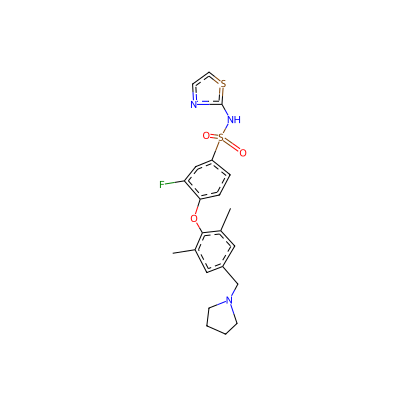 Cc1cc(CN2CCCC2)cc(C)c1Oc1ccc(S(=O)(=O)Nc2nccs2)cc1F